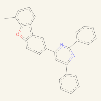 Cc1cccc2c1oc1ccc(-c3cc(-c4ccccc4)nc(-c4ccccc4)n3)cc12